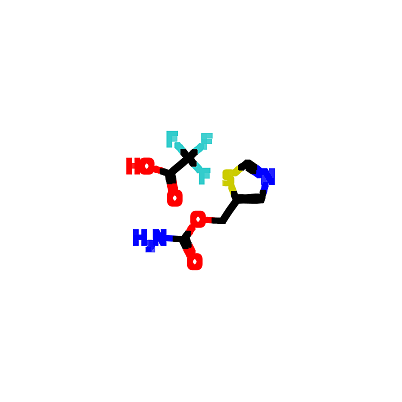 NC(=O)OCc1cncs1.O=C(O)C(F)(F)F